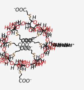 O=C([O-])CCSC[C@H]1O[C@@H]2O[C@H]3[C@H](O)[C@@H](O)[C@@H](O[C@H]4[C@H](O)[C@@H](O)[C@@H](O[C@H]5[C@H](O)[C@@H](O)[C@@H](O[C@H]6[C@H](O)[C@@H](O)[C@@H](O[C@H]7[C@H](O)[C@@H](O)[C@@H](O[C@H]8[C@H](O)[C@@H](O)[C@@H](O[C@H]9[C@H](O)[C@@H](O)[C@@H](O[C@H]1[C@H](O)[C@H]2O)O[C@@H]9CSCCC(=O)[O-])O[C@@H]8CSCCC(=O)[O-])O[C@@H]7CSCCC(=O)[O-])O[C@@H]6CSCCC(=O)[O-])O[C@@H]5CSCCC(=O)[O-])O[C@@H]4CSCCC(=O)[O-])O[C@@H]3CSCCC(=O)[O-].[Na+].[Na+].[Na+].[Na+].[Na+].[Na+].[Na+].[Na+]